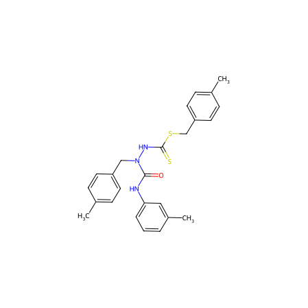 Cc1ccc(CSC(=S)NN(Cc2ccc(C)cc2)C(=O)Nc2cccc(C)c2)cc1